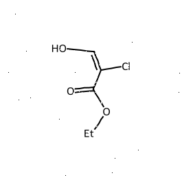 CCOC(=O)/C(Cl)=C\O